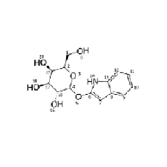 OC[C@H]1OC(Oc2cc3ccccc3[nH]2)[C@H](O)[C@@H](O)[C@H]1O